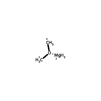 COC.[MgH2]